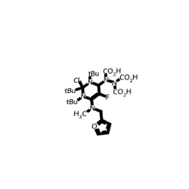 CN(Cc1ccco1)C1=C(F)C(N(C(=O)O)N(C(=O)O)C(=O)O)N(C(C)(C)C)C(Cl)(C(C)(C)C)N1C(C)(C)C